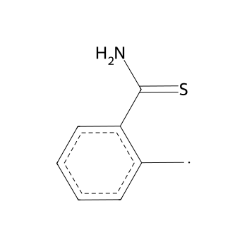 [CH2]c1ccccc1C(N)=S